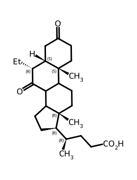 CC[C@H]1C(=O)C2C3CC[C@H]([C@H](C)CCC(=O)O)[C@@]3(C)CCC2[C@@]2(C)CCC(=O)C[C@@H]12